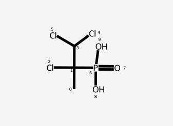 CC(Cl)(C(Cl)Cl)P(=O)(O)O